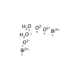 O.O.[Bi+3].[Bi+3].[O-2].[O-2].[O-2]